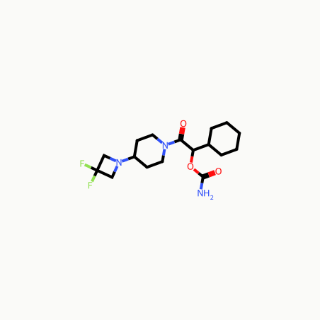 NC(=O)OC(C(=O)N1CCC(N2CC(F)(F)C2)CC1)C1CCCCC1